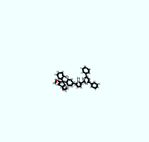 c1ccc(-c2cc(-c3ccccc3)nc(-c3ccc(-c4ccc5c(c4)Oc4ccccc4C54c5ccccc5-c5ccccc54)[nH]3)n2)cc1